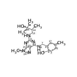 Cc1ccc(O)c(CNc2nc(NCC(C)C(C)(C)O)nc3c2ncn3C)c1